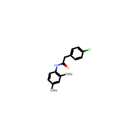 COc1ccc(NC(=O)Cc2ccc(Cl)cc2)c(OC)c1